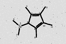 CC1=C(C)C([Si](C)C)C(C)=C1C